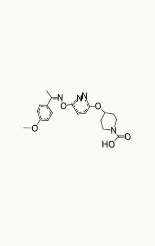 COc1ccc(/C(C)=N\Oc2ccc(OC3CCN(C(=O)O)CC3)nn2)cc1